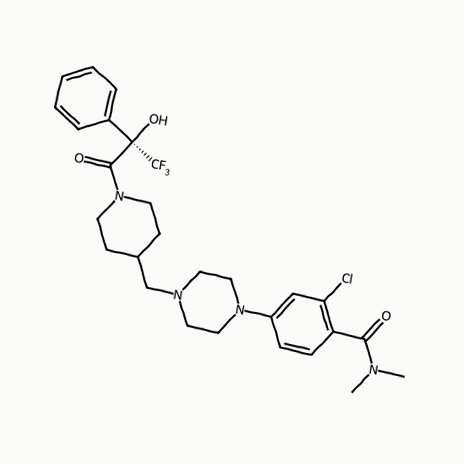 CN(C)C(=O)c1ccc(N2CCN(CC3CCN(C(=O)[C@](O)(c4ccccc4)C(F)(F)F)CC3)CC2)cc1Cl